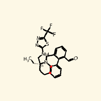 CC[C@@]1(CNc2nnc(C(F)(F)F)s2)CCCCN1Cc1cccc(C=O)c1-c1ccccn1